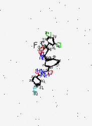 O=C(NNC(=O)c1cccc(C2=NOC(c3cc(Cl)cc(Cl)c3)(C(F)(F)F)C2)c1)c1ccc(F)cc1